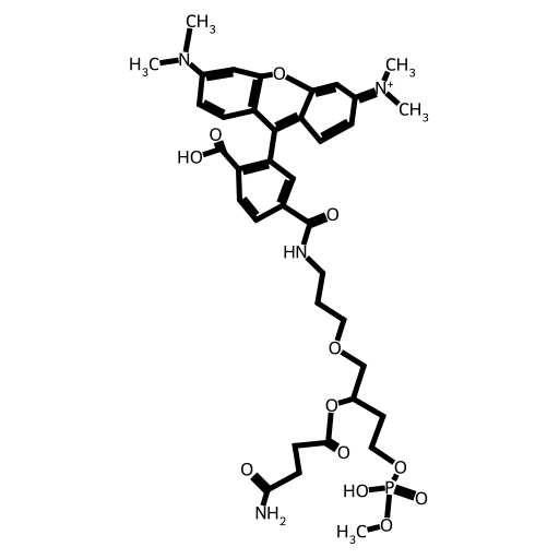 COP(=O)(O)OCCC(COCCCNC(=O)c1ccc(C(=O)O)c(-c2c3ccc(=[N+](C)C)cc-3oc3cc(N(C)C)ccc23)c1)OC(=O)CCC(N)=O